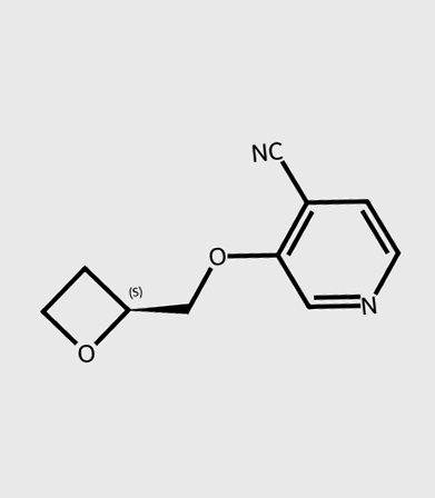 N#Cc1ccncc1OC[C@@H]1CCO1